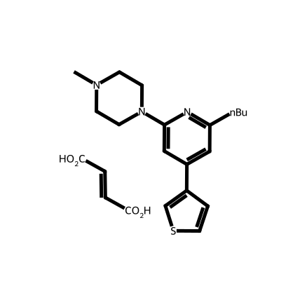 CCCCc1cc(-c2ccsc2)cc(N2CCN(C)CC2)n1.O=C(O)C=CC(=O)O